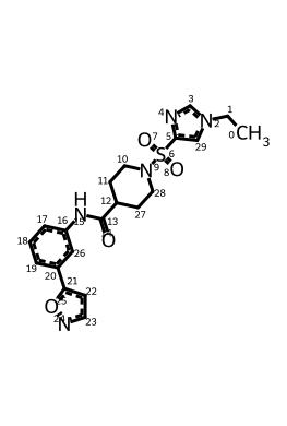 CCn1cnc(S(=O)(=O)N2CCC(C(=O)Nc3cccc(-c4ccno4)c3)CC2)c1